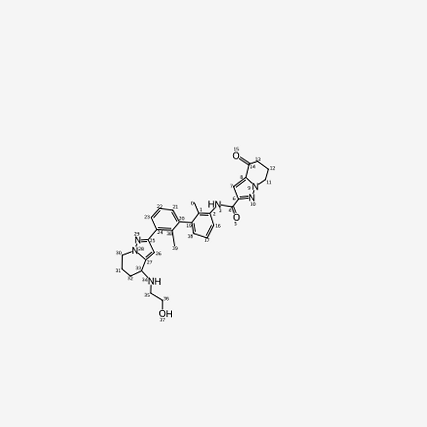 Cc1c(NC(=O)c2cc3n(n2)CCCC3=O)cccc1-c1cccc(-c2cc3n(n2)CCCC3NCCO)c1C